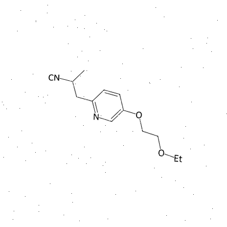 [C-]#[N+]C(C)Cc1ccc(OCCOCC)cn1